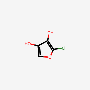 Oc1coc(Cl)c1O